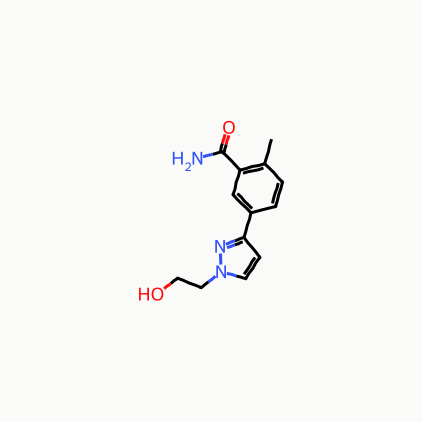 Cc1ccc(-c2ccn(CCO)n2)cc1C(N)=O